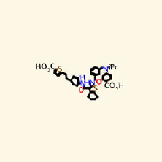 CC(C)N(Cc1cccc(C(=O)Nc2sc3c(c2C(=O)Nc2ccc(CCc4ccc(C(=O)O)s4)cc2)CCCC3)c1)[C@H]1CC[C@H](C(=O)O)CC1